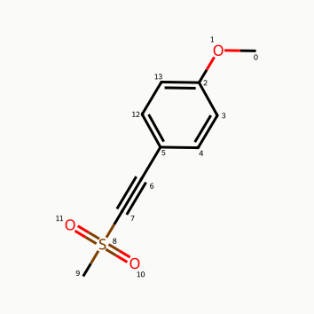 COc1ccc(C#CS(C)(=O)=O)cc1